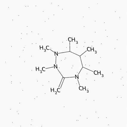 C=C1N(C)C(C)C(C)C(C)N(C)N1C